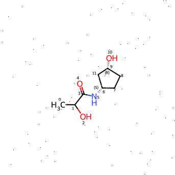 CC(O)C(=O)N[C@H]1CC[C@@H](O)C1